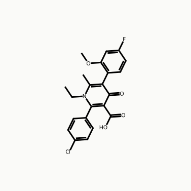 CCn1c(C)c(-c2ccc(F)cc2OC)c(=O)c(C(=O)O)c1-c1ccc(Cl)cc1